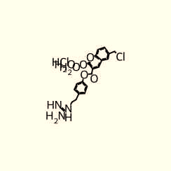 Cl.N=C(N)NCCc1ccc(OC(=O)c2cc3cc(CCl)ccc3oc2=O)cc1.O.O